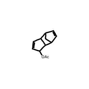 CC(=O)OC1C=CC2C3C=CC(C3)C12